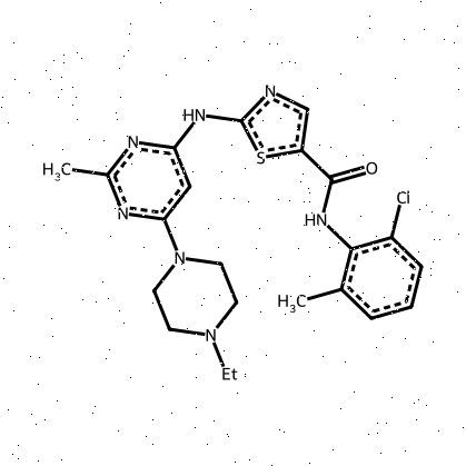 [CH2]CN1CCN(c2cc(Nc3ncc(C(=O)Nc4c(C)cccc4Cl)s3)nc(C)n2)CC1